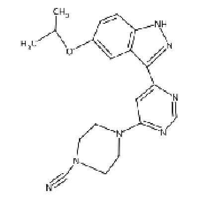 CC(C)Oc1ccc2[nH]nc(-c3cc(N4CCN(C#N)CC4)ncn3)c2c1